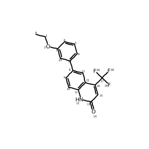 CCOc1cccc(-c2ccc3[nH]c(=O)cc(C(F)(F)F)c3c2)c1